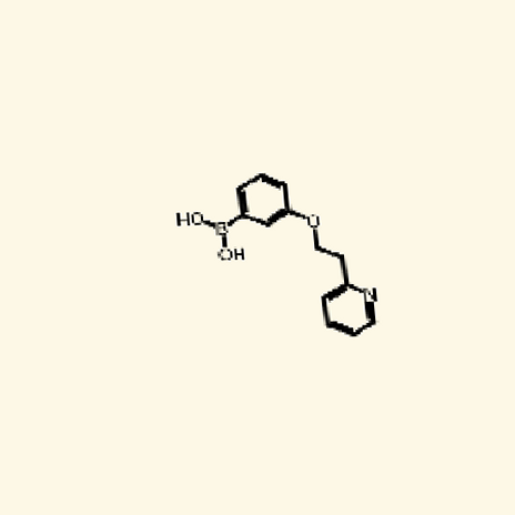 OB(O)c1cccc(OCCc2ccccn2)c1